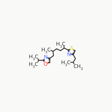 CC(C)Cc1csc(C(C)CCC(C)Cc2coc(C(C)C)n2)n1